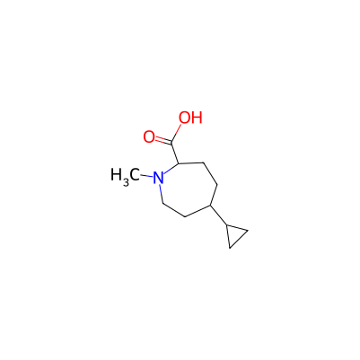 CN1CCC(C2CC2)CCC1C(=O)O